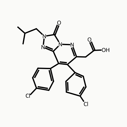 CC(C)Cn1nc2c(-c3ccc(Cl)cc3)c(-c3ccc(Cl)cc3)c(CC(=O)O)nn2c1=O